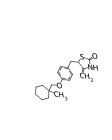 C=C1NC(=O)SC1Cc1ccc(OCC2(C)CCCCC2)cc1